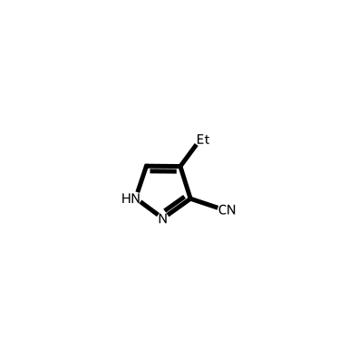 CCc1c[nH]nc1C#N